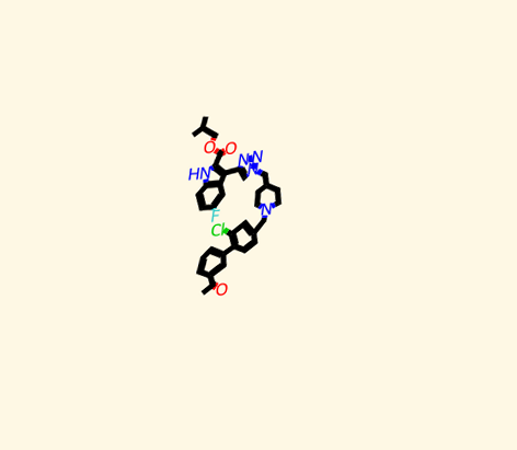 CC(=O)c1cccc(-c2ccc(CN3CCC(Cn4cc(-c5c(C(=O)OCC(C)C)[nH]c6ccc(F)cc56)nn4)CC3)cc2Cl)c1